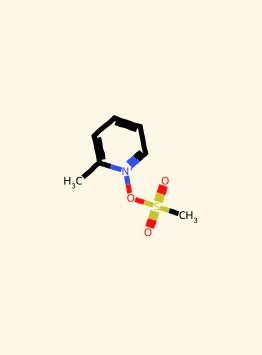 Cc1cccc[n+]1OS(C)(=O)=O